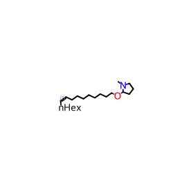 CCCCCC/C=C\CCCCCCCCOC1CCCN1C